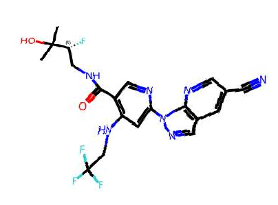 CC(C)(O)[C@H](F)CNC(=O)c1cnc(-n2ncc3cc(C#N)cnc32)cc1NCC(F)(F)F